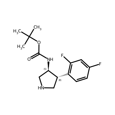 CC(C)(C)OC(=O)N[C@@H]1CNC[C@H]1c1ccc(F)cc1F